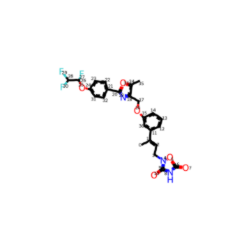 CC(=CCn1oc(=O)[nH]c1=O)c1cccc(OCc2nc(-c3ccc(OC(F)C(F)F)cc3)oc2C)c1